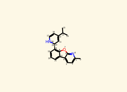 Cc1ccc2c(n1)oc1c([C@@H]3C=C(C(C)C)C=CN3)cccc12